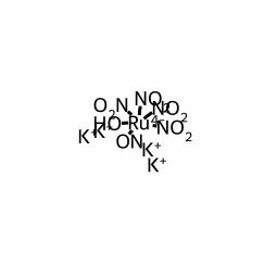 O=[N][Ru-4]([OH])([N+](=O)[O-])([N+](=O)[O-])([N+](=O)[O-])[N+](=O)[O-].[K+].[K+].[K+].[K+]